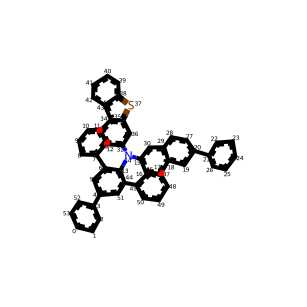 c1ccc(-c2cc(-c3ccccc3)c(N(c3ccc4cc(-c5ccccc5)ccc4c3)c3ccc4c(c3)sc3ccccc34)c(-c3ccccc3)c2)cc1